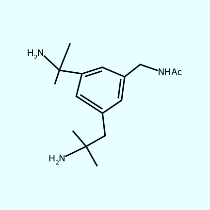 CC(=O)NCc1cc(CC(C)(C)N)cc(C(C)(C)N)c1